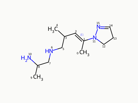 C/C(=C\C(C)CNCC(C)N)N1CCC=N1